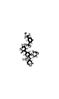 Cc1ncc(NC(=O)c2cccc(C(F)(F)F)c2)cc1-c1cnc(CC2(O)CCOCC2)c(N2CCOCC2)c1